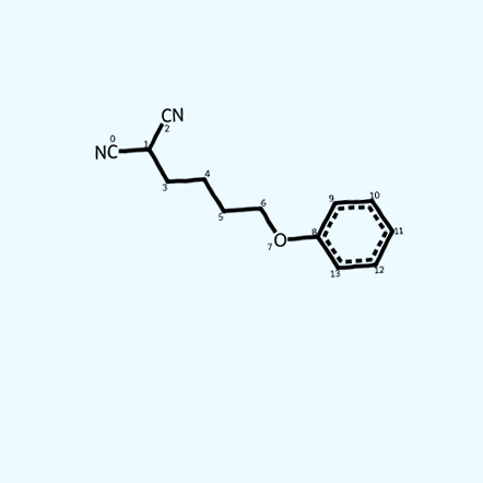 N#CC(C#N)CCCCOc1ccccc1